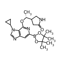 C[C@@H](Oc1nc(B2OC(C)(C)C(C)(C)O2)cc2ncn(C3CC3)c12)C1CNC(=O)C1